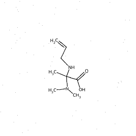 C=CCNC(C)(C(=O)O)N(C)C